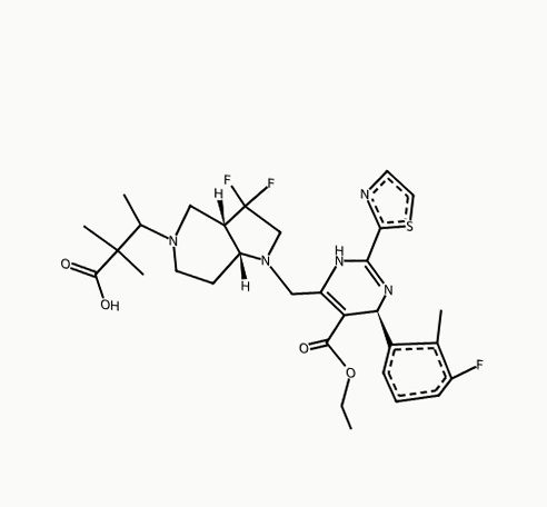 CCOC(=O)C1=C(CN2CC(F)(F)[C@H]3CN(C(C)C(C)(C)C(=O)O)CC[C@H]32)NC(c2nccs2)=N[C@H]1c1cccc(F)c1C